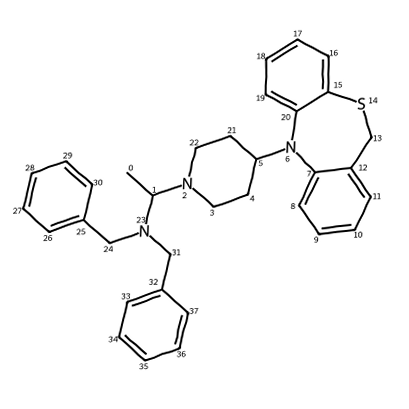 CC(N1CCC(N2c3ccccc3CSc3ccccc32)CC1)N(Cc1ccccc1)Cc1ccccc1